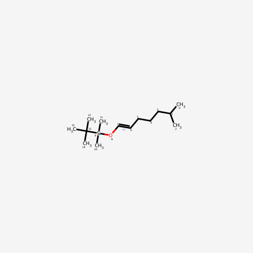 CC(C)CCC/C=C/O[Si](C)(C)C(C)(C)C